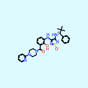 CC(C)(C)[C@@H](Nc1n[s+]([O-])nc1Nc1cccc(C(=O)N2CCN(c3ccccn3)CC2)c1O)c1ccccc1